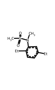 CCc1ccc(CC)c(N(C)S(C)(=O)=O)c1